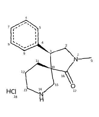 CN1C[C@H](c2ccccc2)[C@]2(CCCNC2)C1=O.Cl